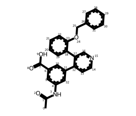 CC(=O)Nc1cc(C(=O)O)cc(-c2ccncc2-c2ccccc2OCc2ccccc2)c1